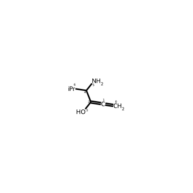 C=C=C(O)C(N)C(C)C